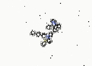 c1ccc(-c2ccc(-c3ccc(N(c4ccc(-c5ccc6c7ccccc7c7c(c(-c8ccccc8)c8ccccn87)c6c5)cc4)c4cccc5c4sc4ccccc45)cc3)cc2)cc1